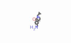 C[C@@]12CCN(CC3CC3)C(C1)C(=O)c1ccc(CN)cc12